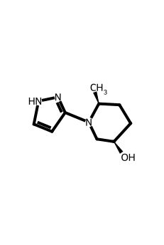 C[C@H]1CC[C@@H](O)CN1c1cc[nH]n1